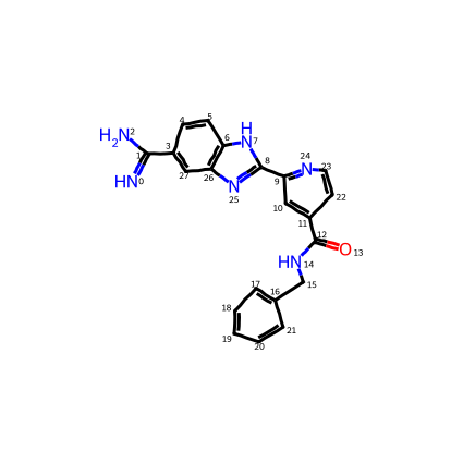 N=C(N)c1ccc2[nH]c(-c3cc(C(=O)NCc4ccccc4)ccn3)nc2c1